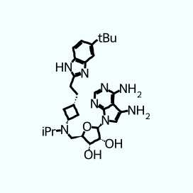 CC(C)N(C[C@H]1O[C@@H](n2cc(N)c3c(N)ncnc32)[C@H](O)[C@@H]1O)[C@H]1C[C@@H](CCc2nc3cc(C(C)(C)C)ccc3[nH]2)C1